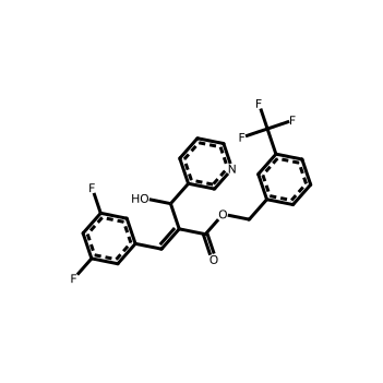 O=C(OCc1cccc(C(F)(F)F)c1)C(=Cc1cc(F)cc(F)c1)C(O)c1cccnc1